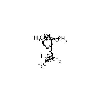 CCO[Si](C)(C)CCCN1CCC[Si](C)(C)OC(COC)C1